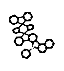 c1ccc(-n2c3ccc4ccccc4c3c3ccc4c(c32)-c2ccccc2C42c3ccccc3C3(c4ccccc4-c4ccccc43)c3ccccc32)cc1